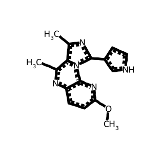 COc1ccc2nc(C)c3c(C)nc(-c4cc[nH]c4)n3c2n1